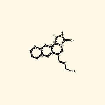 NCC=Cc1cn2c(=O)[nH]nc2c2cc3ccccc3cc12